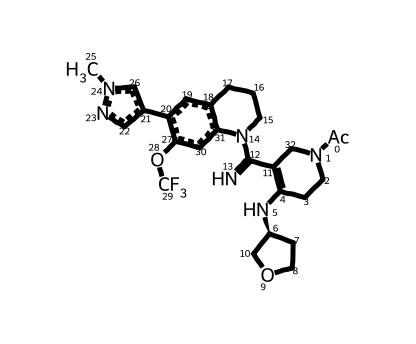 CC(=O)N1CCC(N[C@H]2CCOC2)=C(C(=N)N2CCCc3cc(-c4cnn(C)c4)c(OC(F)(F)F)cc32)C1